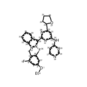 CCOc1cc(F)c(Cn2nc(-c3nc(Nc4ccncn4)cc(C4CCCO4)n3)c3ccccc32)c(F)c1